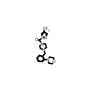 O=C(N1CCN(Cc2ccccc2N2CCOCC2)CC1)n1cc(C(F)(F)F)cn1